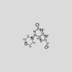 O=Cc1nc2nc(Cl)cc(N3CCOCC3)c2s1